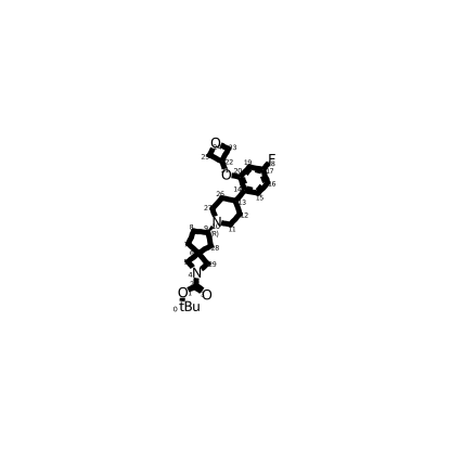 CC(C)(C)OC(=O)N1CC2(CC[C@@H](N3CCC(c4ccc(F)cc4OC4COC4)CC3)C2)C1